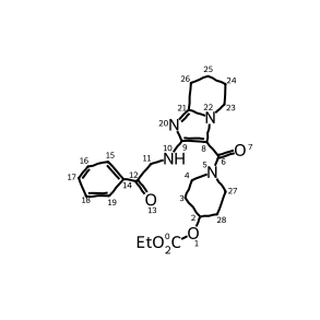 CCOC(=O)OC1CCN(C(=O)c2c(NCC(=O)c3ccccc3)nc3n2CCCC3)CC1